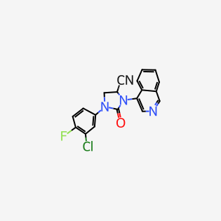 N#CC1CN(c2ccc(F)c(Cl)c2)C(=O)N1c1cncc2ccccc12